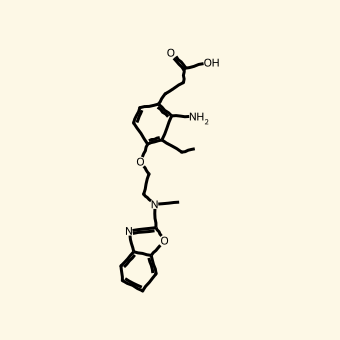 CCc1c(OCCN(C)c2nc3ccccc3o2)ccc(CCC(=O)O)c1N